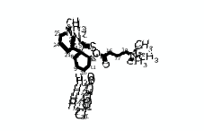 CN1C=C([C@]2(C(N)=S)CCCC[C@H]2OC(=O)CCC[N+](C)(C)C)C=CC1.O.O.O.O.O.[Cl-]